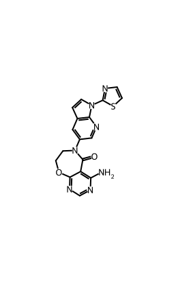 Nc1ncnc2c1C(=O)N(c1cnc3c(ccn3-c3nccs3)c1)CCO2